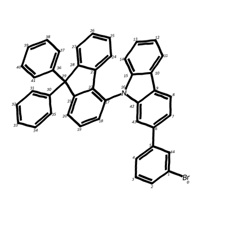 Brc1cccc(-c2ccc3c4ccccc4n(-c4cccc5c4-c4ccccc4C5(c4ccccc4)c4ccccc4)c3c2)c1